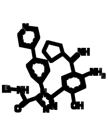 CCNC(=O)c1nnc(-c2cc(C(=N)C3CCCC3)c(N)cc2O)n1-c1ccc(-c2ccncc2)cc1